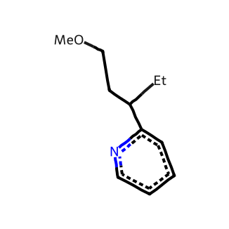 CCC(CCOC)c1ccccn1